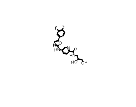 O=C(NCC(O)CO)c1ccc(Nc2ncc(-c3ccc(F)c(F)c3)o2)cn1